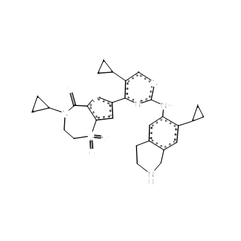 O=C1c2sc(-c3nc(Nc4cc5c(cc4C4CC4)CNCC5)ncc3C3CC3)cc2S(=O)(=O)CCN1C1CC1